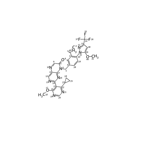 COc1cc(Cn2c(=O)cnc3cnc(-c4c(OC)ncnc4C4CC4)nc32)ccc1-n1nc(C(F)(F)F)cc1OC